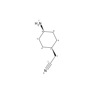 N#CC[C@H]1CC[C@@H](N)CC1